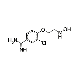 N=C(N)c1ccc(OCCNO)c(Cl)c1